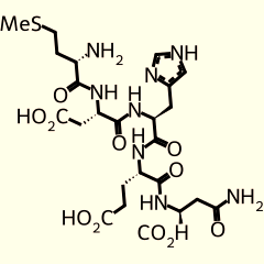 CSCC[C@H](N)C(=O)N[C@@H](CC(=O)O)C(=O)N[C@@H](Cc1c[nH]cn1)C(=O)N[C@@H](CCC(=O)O)C(=O)N[C@@H](CC(N)=O)C(=O)O